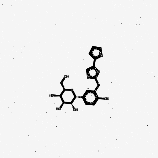 N#Cc1ccc([C@H]2O[C@H](CO)[C@H](O)[C@H](O)[C@H]2O)cc1Cc1ncc(-c2ccco2)s1